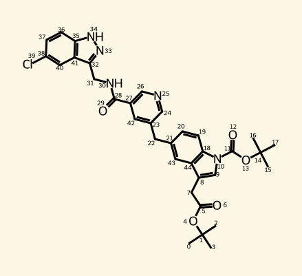 CC(C)(C)OC(=O)Cc1cn(C(=O)OC(C)(C)C)c2ccc(Cc3cncc(C(=O)NCc4n[nH]c5ccc(Cl)cc45)c3)cc12